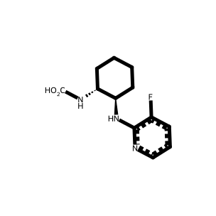 O=C(O)N[C@@H]1CCCC[C@H]1Nc1ncccc1F